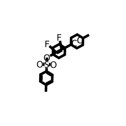 Cc1ccc(S(=O)(=O)OC23CCC(C45CCC(C)(CC4)CC5)(CC2)C(F)=C3F)cc1